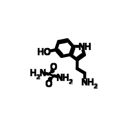 NCCc1c[nH]c2ccc(O)cc12.NS(N)(=O)=O